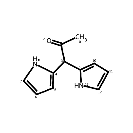 CC(=O)C(c1ccc[nH]1)c1ccc[nH]1